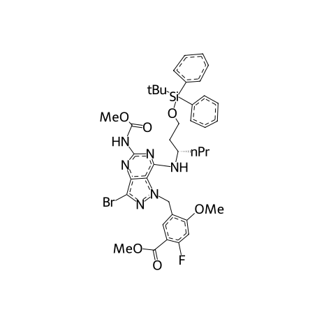 CCC[C@@H](CCO[Si](c1ccccc1)(c1ccccc1)C(C)(C)C)Nc1nc(NC(=O)OC)nc2c(Br)nn(Cc3cc(C(=O)OC)c(F)cc3OC)c12